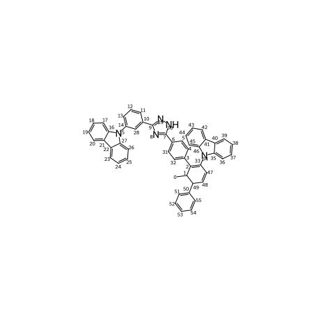 CC1C(c2ccc(-c3nc(-c4cccc(-n5c6ccccc6c6ccccc65)c4)n[nH]3)cc2)=C(n2c3ccccc3c3ccccc32)C=CC1c1ccccc1